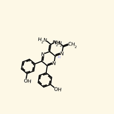 C=C(N)/N=C1/N=C(c2cccc(O)c2)C(c2cccc(O)c2)=NC1=C(N)N